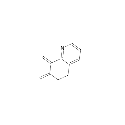 C=C1CCc2cccnc2C1=C